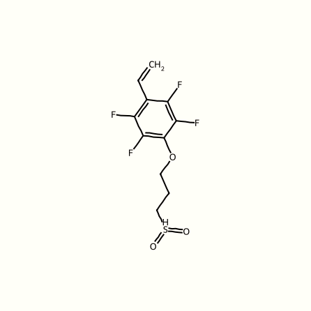 C=Cc1c(F)c(F)c(OCCC[SH](=O)=O)c(F)c1F